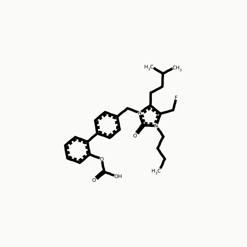 CCCCn1c(CF)c(CCC(C)C)n(Cc2ccc(-c3ccccc3OC(=O)O)cc2)c1=O